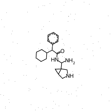 NC(NC(=O)C(c1ccccc1)C1CCCCC1)C12CNCC1C2